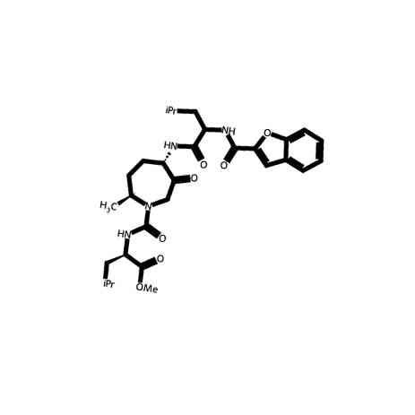 COC(=O)[C@@H](CC(C)C)NC(=O)N1CC(=O)[C@@H](NC(=O)C(CC(C)C)NC(=O)c2cc3ccccc3o2)CC[C@@H]1C